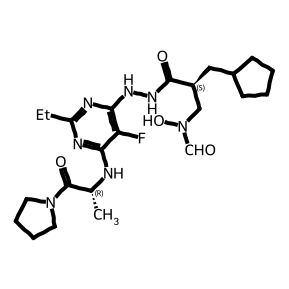 CCc1nc(NNC(=O)[C@@H](CC2CCCC2)CN(O)C=O)c(F)c(N[C@H](C)C(=O)N2CCCC2)n1